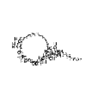 CC(=O)OCCSSCCOC(=O)NC1C(O)C(C)OC(O[C@H]2/C=C/C=C/C=C/C=C/C=C/C=C/C=C/[C@H](C)[C@@H](O)[C@@H](C)[C@H](C)CC(=O)C[C@H](O)C[C@H](O)CC[C@@H](O)[C@H](O)C[C@H](O)C[C@]3(O)C[C@H](O)[C@@H](C(=O)O)[C@H](C2)O3)C1O